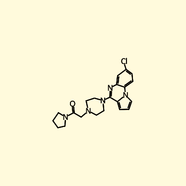 O=C(CN1CCN(c2nc3cc(Cl)ccc3n3cccc23)CC1)N1CCCC1